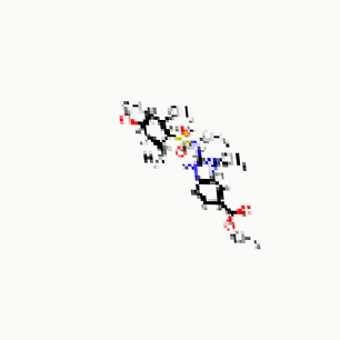 COC(=O)c1ccc2nc(N(C)S(=O)(=O)c3c(C)cc(OC)cc3C)n(C)c2c1